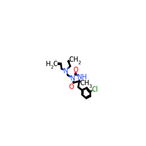 C=CCN(CC=C)CN1C(=O)NC(C)(Cc2cccc(Cl)c2)C1=O